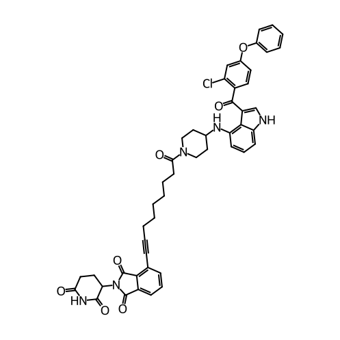 O=C1CCC(N2C(=O)c3cccc(C#CCCCCCCC(=O)N4CCC(Nc5cccc6[nH]cc(C(=O)c7ccc(Oc8ccccc8)cc7Cl)c56)CC4)c3C2=O)C(=O)N1